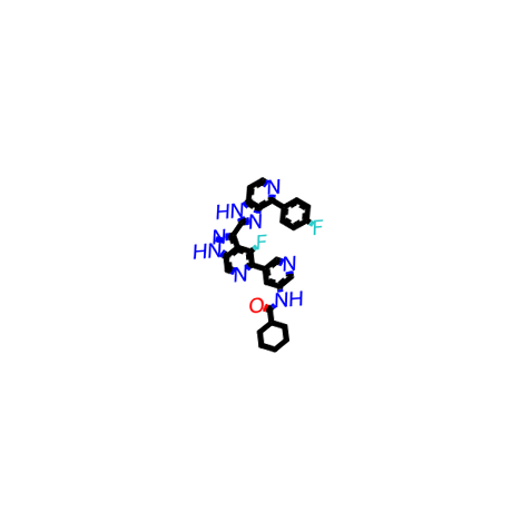 O=C(Nc1cncc(-c2ncc3[nH]nc(-c4nc5c(-c6ccc(F)cc6)nccc5[nH]4)c3c2F)c1)C1CCCCC1